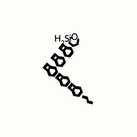 C1=Cc2ccccc21.C1=Cc2ccccc21.C1=Cc2ccccc21.C1=Cc2ccccc21.C1=Cc2ccccc21.C1CC[SiH2]OC1.C=CC=C